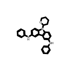 c1ccc(Nc2ccc3c(c2)c2cc(Nc4ccccc4)ccc2n3C2CCCCO2)cc1